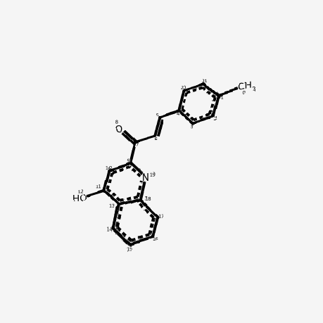 Cc1ccc(C=CC(=O)c2cc(O)c3ccccc3n2)cc1